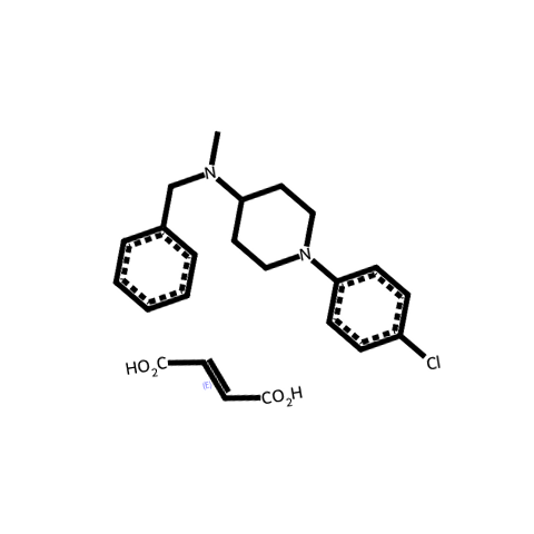 CN(Cc1ccccc1)C1CCN(c2ccc(Cl)cc2)CC1.O=C(O)/C=C/C(=O)O